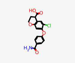 NC(=O)c1ccc(Oc2cc3c(cc2Cl)C(C(=O)O)CCO3)cc1